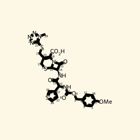 COc1ccc(COC(=O)NC(C(=O)N[C@@H]2C(=O)N3C(C(=O)O)=C(CSc4nnnn4C)CSC23)c2ccsc2)cc1